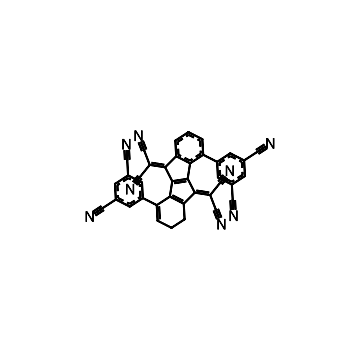 N#CC(C#N)=C1C2=C(C(c3cc(C#N)cc(C#N)c3)=CCC2)C2=C1c1c(cccc1-c1cc(C#N)cc(C#N)c1)C2=C(C#N)C#N